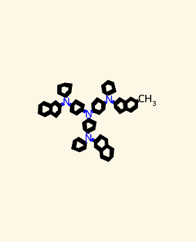 CC1C=Cc2ccc(N(c3ccccc3)c3ccc(N(c4ccc(N(C5=CCC6C=CC=CC6=C5)c5ccccc5)cc4)c4ccc(N(c5ccccc5)c5ccc6ccccc6c5)cc4)cc3)cc2C1